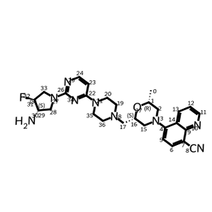 C[C@@H]1CN(c2ccc(C#N)c3ncccc23)C[C@H](CN2CCN(c3ccnc(N4C[C@H](N)[C@@H](F)C4)n3)CC2)O1